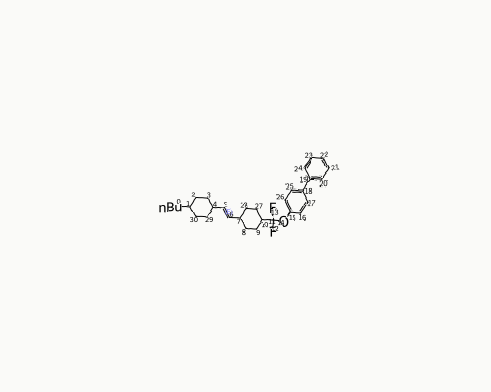 CCCCC1CCC(/C=C/C2CCC(C(F)(F)Oc3ccc(-c4ccccc4)cc3)CC2)CC1